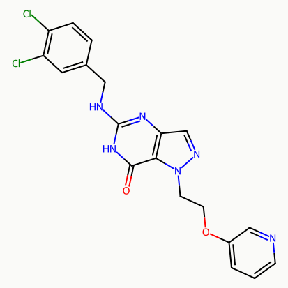 O=c1[nH]c(NCc2ccc(Cl)c(Cl)c2)nc2cnn(CCOc3cccnc3)c12